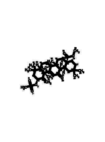 C=C1[C@@H](OS(C)(=O)=O)CC(C)(C)[C@@H]2CC[C@]3(C)C(=CC(=O)[C@@H]4[C@@H]5CC(C)(C)CC[C@]5(C(=O)OC)CC[C@]43C)[C@@]12C